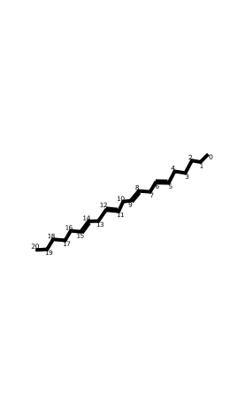 CCCCCC=CCC=CCC=CCC=CCCCCC